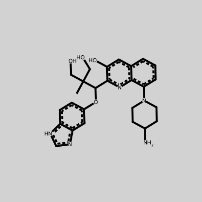 CC(CO)(CO)C(Oc1ccc2[nH]cnc2c1)c1nc2c(N3CCC(N)CC3)cccc2cc1O